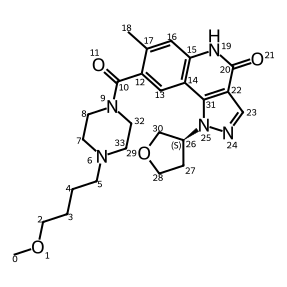 COCCCCN1CCN(C(=O)c2cc3c(cc2C)[nH]c(=O)c2cnn([C@H]4CCOC4)c23)CC1